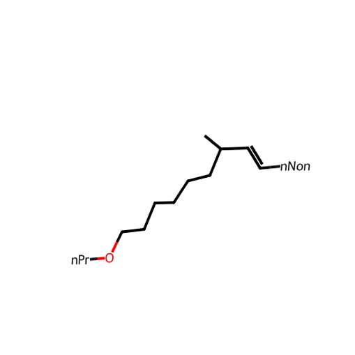 CCCCCCCCC/C=C/C(C)CCCCCCOCCC